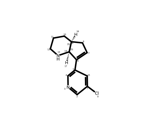 Clc1cncc(C2=CC[C@@H]3CCCN[C@H]23)c1